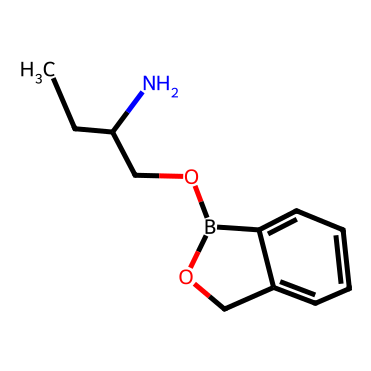 CCC(N)COB1OCc2ccccc21